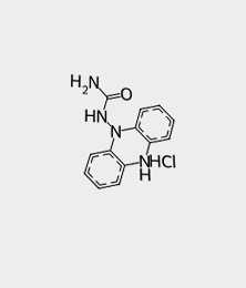 Cl.NC(=O)NN1c2ccccc2Nc2ccccc21